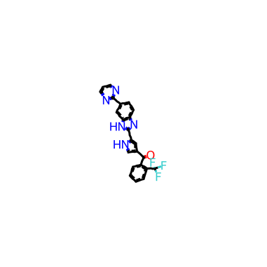 O=C(c1c[nH]c(-c2nc3ccc(-c4ncccn4)cc3[nH]2)c1)c1ccccc1C(F)(F)F